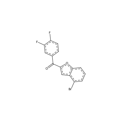 O=C(c1ccc(F)c(F)c1)c1cc2c(Br)cccc2o1